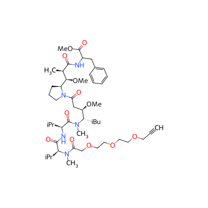 C#CCOCCOCCOCC(=O)N(C)[C@H](C(=O)N[C@H](C(=O)N(C)[C@@H](C(C)CC)[C@@H](CC(=O)N1CCC[C@H]1[C@H](OC)[C@@H](C)C(=O)NC(Cc1ccccc1)C(=O)OC)OC)C(C)C)C(C)C